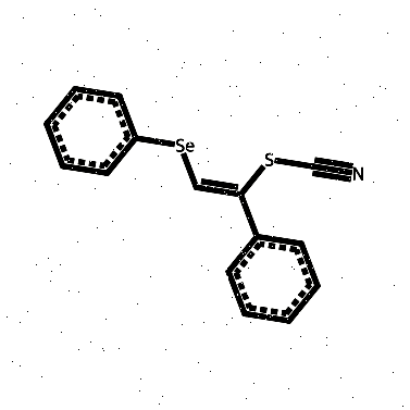 N#CSC(=C[Se]c1ccccc1)c1ccccc1